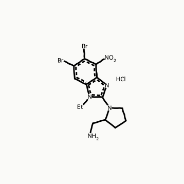 CCn1c(N2CCCC2CN)nc2c([N+](=O)[O-])c(Br)c(Br)cc21.Cl